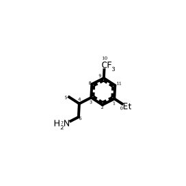 CCc1cc(C(C)CN)cc(C(F)(F)F)c1